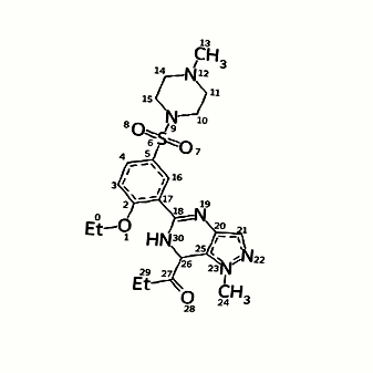 CCOc1ccc(S(=O)(=O)N2CCN(C)CC2)cc1C1=Nc2cnn(C)c2C(C(=O)CC)N1